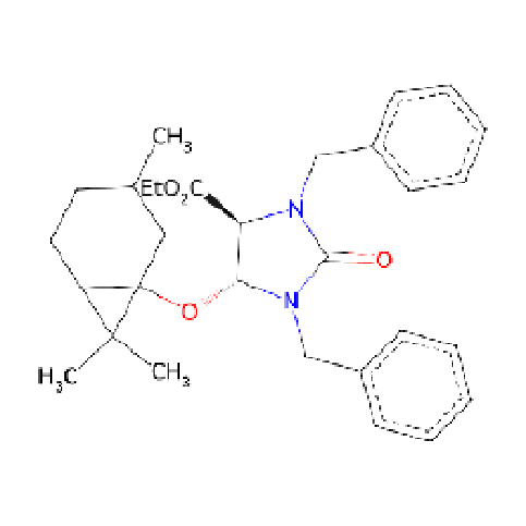 CCOC(=O)[C@@H]1[C@@H](OC23CC(C)CCC2C3(C)C)N(Cc2ccccc2)C(=O)N1Cc1ccccc1